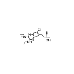 C#CC(C)(O)CCc1cc2nc(NCC)c(NCC)nc2cc1Cl